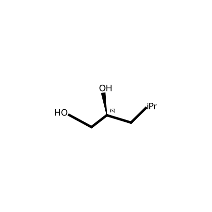 CC(C)C[C@H](O)CO